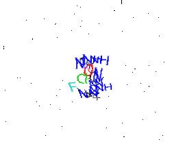 Cn1c(Nc2cc(C(C)(C)C)n([C@H]3CCN(CCF)C3)n2)nc2ncc(O/C(C=N)=C3\C=NC=CN3)c(Cl)c21